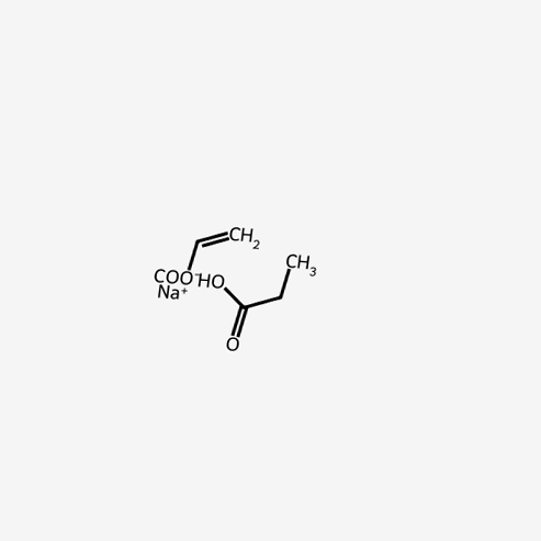 C=CC(=O)[O-].CCC(=O)O.[Na+]